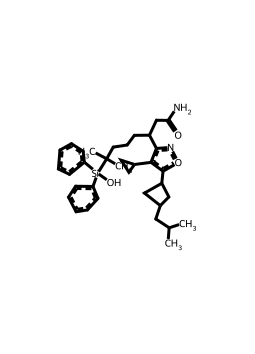 CC(C)CC1CC(c2onc(C(CCCC(C)(C)[Si](O)(c3ccccc3)c3ccccc3)CC(N)=O)c2C2CC2)C1